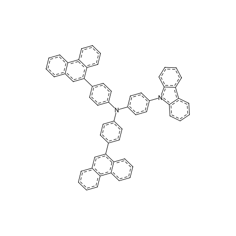 c1ccc2c(c1)cc(-c1ccc(N(c3ccc(-c4cc5ccccc5c5ccccc45)cc3)c3ccc(-n4c5ccccc5c5ccccc54)cc3)cc1)c1ccccc12